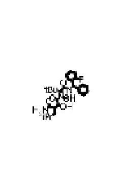 CC(C)CC(C(N)=O)[C@H](O)C(=O)N(O)[C@H](C(=O)NC(c1ccccc1)c1ccccc1F)C(C)(C)C